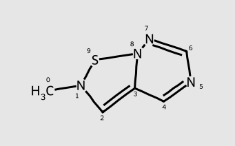 CN1C=C2C=NC=NN2S1